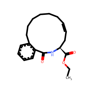 CCOC(=O)[C@@H]1C/C=C\CCCCCCc2ccccc2C(=O)N1